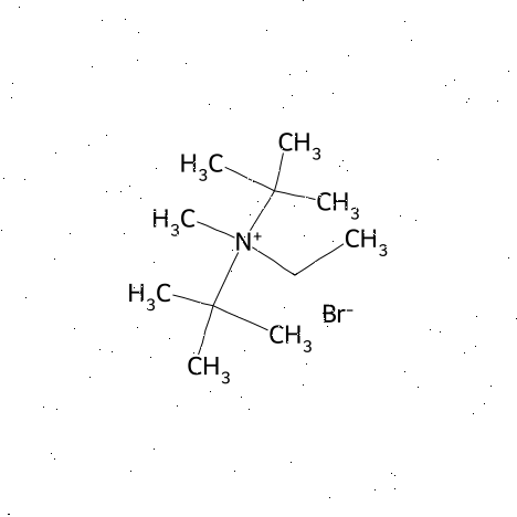 CC[N+](C)(C(C)(C)C)C(C)(C)C.[Br-]